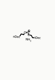 CCCCCCCCCCCCO[N+](=O)OCCCCCCCCCCCC.N